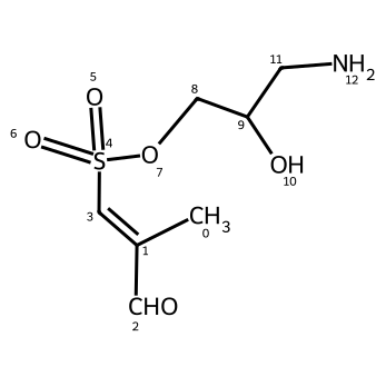 CC(C=O)=CS(=O)(=O)OCC(O)CN